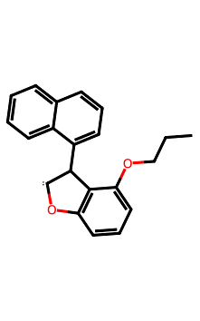 CCCOc1cccc2c1C(c1cccc3ccccc13)[C]O2